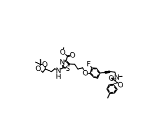 COC(=O)c1nc(NCCC2COC(C)(C)O2)sc1CCCOc1ccc(C#CCN(C)S(=O)(=O)c2ccc(C)cc2)cc1F